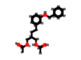 CC(=O)OCC(CCc1cccc(OCc2ccccc2)c1)COC(C)=O